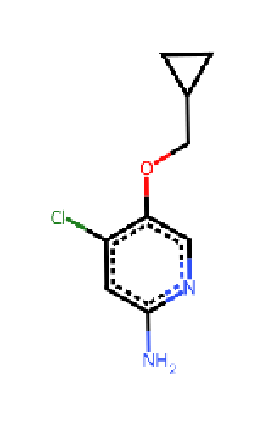 Nc1cc(Cl)c(OCC2CC2)cn1